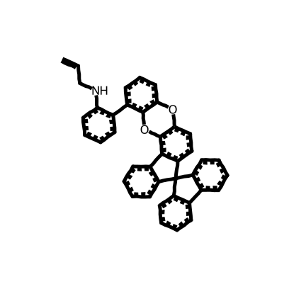 C=CCNc1ccccc1-c1cccc2c1Oc1c(ccc3c1-c1ccccc1C31c3ccccc3-c3ccccc31)O2